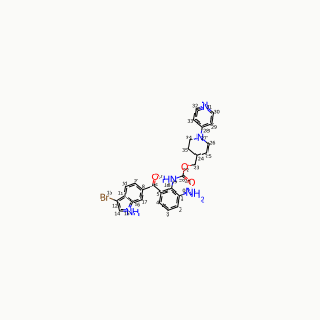 Nc1cccc(C(=O)c2ccc3c(Br)c[nH]c3c2)c1NC(=O)OCC1CCN(c2ccncc2)CC1